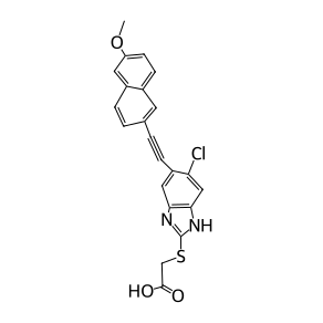 COc1ccc2cc(C#Cc3cc4nc(SCC(=O)O)[nH]c4cc3Cl)ccc2c1